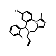 C=CCN1Cc2cnc(C)n2-c2ccc(Cl)cc2C1c1ccccc1F